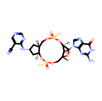 N#Cc1cncnc1N[C@@H]1C[C@@H]2CO[P@@](=O)(S)O[C@@H]3[C@H](O)[C@@H](CO[P@](=O)(S)O[C@H]2C1)O[C@H]3n1cnc2c(=O)[nH]c(N)nc21